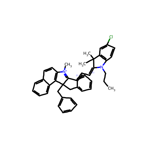 CCCN1/C(=C/C=C/C2=[N+](C)c3ccc4ccccc4c3C2(Cc2ccccc2)Cc2ccccc2)C(C)(C)c2cc(Cl)ccc21